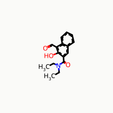 CCN(CC)C(=O)c1cc2ccccc2c(C=O)c1O